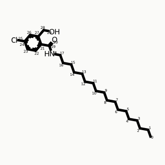 CCCCCCCCCCCCCCCCCCNC(=O)c1ccc(Cl)cc1CO